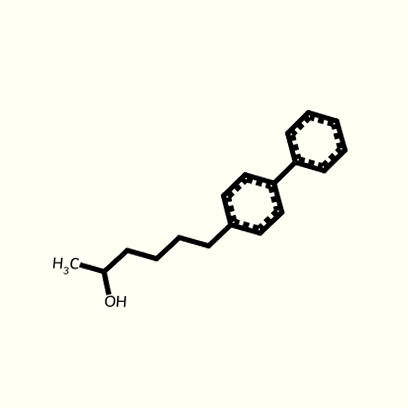 CC(O)CCCCc1ccc(-c2ccccc2)cc1